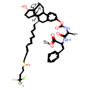 CC(C)C(NC(=O)Oc1ccc2c(c1)C[C@@H](CCCCCCCCC[S+]([O-])CCCC(F)(F)C(F)(F)F)[C@@H]1C2CC[C@]2(C)[C@@H](O)CC[C@@H]12)C(=O)NC(Cc1ccccc1)C(=O)OC(C)(C)C